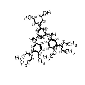 CCN(CC)c1cc(Nc2nc(Nc3ccc(OC)c(N(CC)CC)c3)nc(N(CCO)CCO)n2)ccc1C